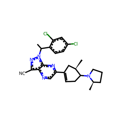 CC(c1ccc(Cl)cc1Cl)n1nc(C#N)c2ncc(C3=CCC(N4CCC[C@H]4C)[C@H](C)C3)nc21